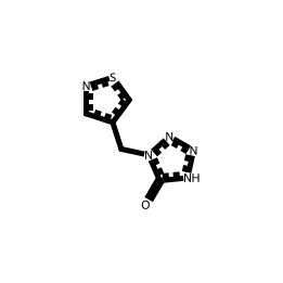 O=c1[nH]nnn1Cc1cnsc1